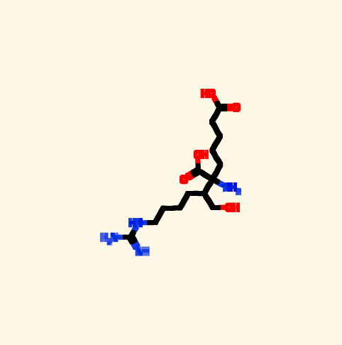 N=C(N)NCCCCC(CO)C(N)(CCCCC(=O)O)C(=O)O